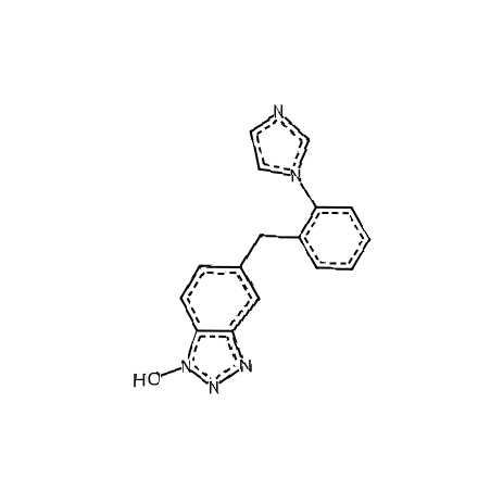 On1nnc2cc(Cc3ccccc3-n3ccnc3)ccc21